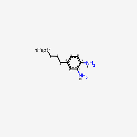 CCCCCCCCCCc1ccc(N)c(N)c1